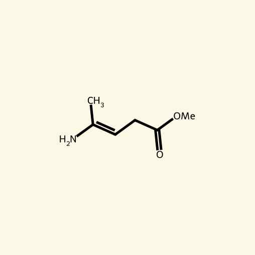 COC(=O)C/C=C(\C)N